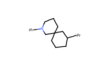 CC(C)C1CCCC2(CCCN(C(C)C)C2)C1